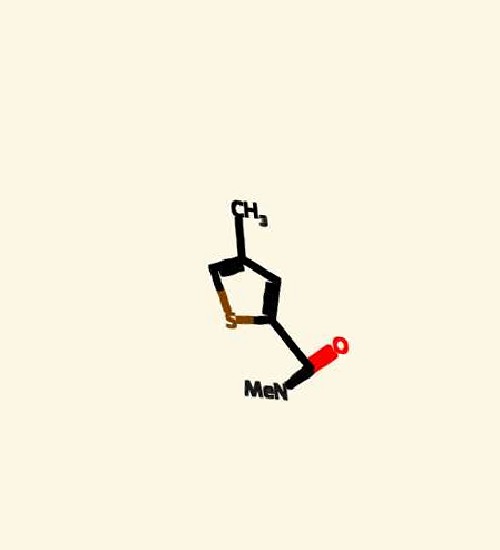 CNC(=O)c1cc(C)cs1